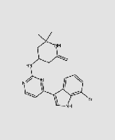 C=C1CC(Nc2nccc(-c3c[nH]c4c(Br)cccc34)n2)CC(C)(C)N1